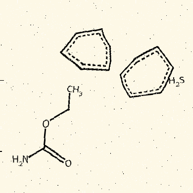 CCOC(N)=O.S.c1ccccc1.c1ccccc1